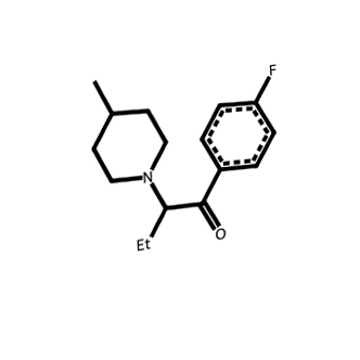 CCC(C(=O)c1ccc(F)cc1)N1CCC(C)CC1